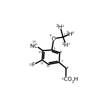 [2H]C([2H])([2H])Oc1cc(CC(=O)O)cc(F)c1C#N